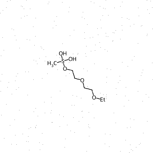 [CH2]COCCOCCOS(C)(O)O